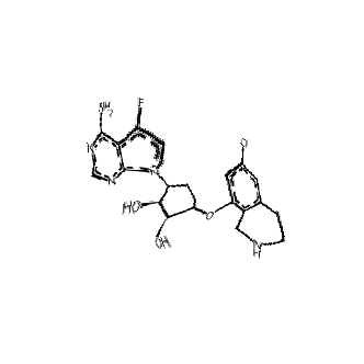 Nc1ncnc2c1c(F)cn2C1CC(Oc2cc(Cl)cc3c2CNCC3)[C@@H](O)[C@H]1O